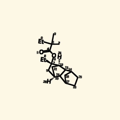 CCC(C)(C)C(=O)O[C@@]1(CC)C[C@H]2C[C@@H]1C1C3CCC(C3)C12